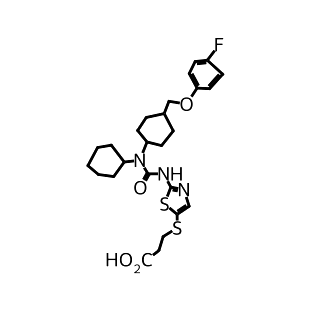 O=C(O)CCSc1cnc(NC(=O)N(C2CCCCC2)C2CCC(COc3ccc(F)cc3)CC2)s1